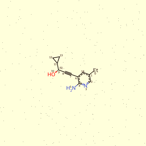 CCc1cnc(N)c(C#C[C@@H](O)C2CC2)c1